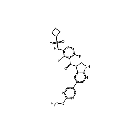 COc1ncc(-c2cnc3c(c2)C(C(=O)c2c(F)ccc(NS(=O)(=O)C4CCC4)c2F)CN3)cn1